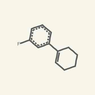 Fc1cccc(C2=CCCCC2)c1